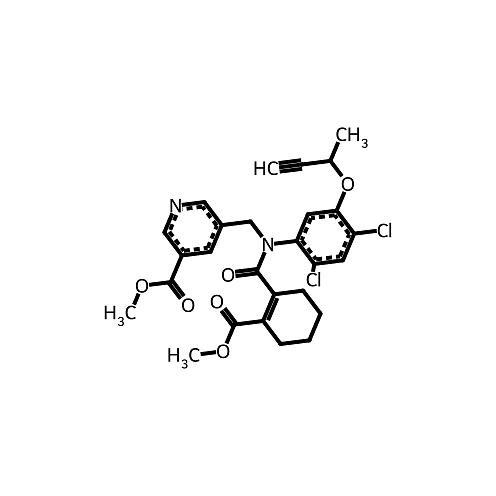 C#CC(C)Oc1cc(N(Cc2cncc(C(=O)OC)c2)C(=O)C2=C(C(=O)OC)CCCC2)c(Cl)cc1Cl